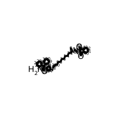 CN(CCCCCCCCCCCN1CC[C@@H](C(C(N)=O)(c2ccccc2)c2ccccc2)C1)CCN1C(=O)c2ccccc2C1=O